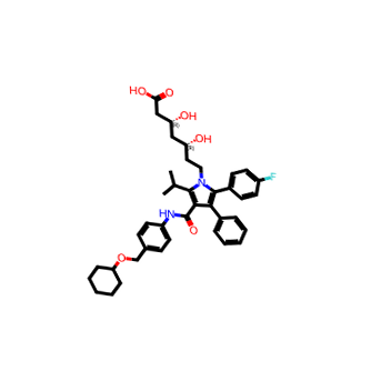 CC(C)c1c(C(=O)Nc2ccc(COC3CCCCC3)cc2)c(-c2ccccc2)c(-c2ccc(F)cc2)n1CC[C@@H](O)C[C@@H](O)CC(=O)O